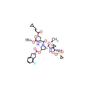 C=C[C@@H]1C[C@]1(NC(=O)[C@@H]1CC(OC(=O)N2Cc3cccc(F)c3C2)CN1C(=O)[C@H](CCC(=O)/C=C/C1CC1)NC(=O)OC(C)(C)C)C(=O)NS(=O)(=O)C1CC1